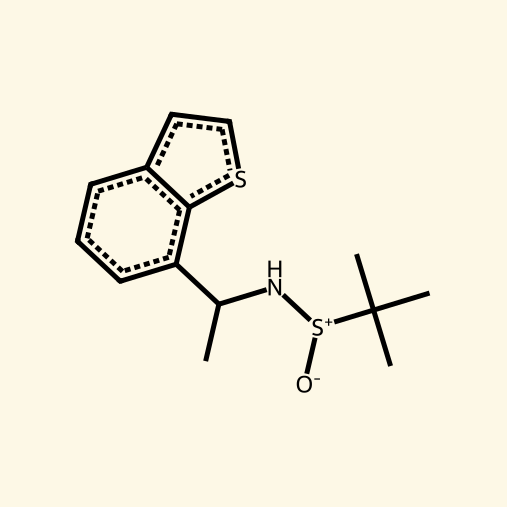 CC(N[S+]([O-])C(C)(C)C)c1cccc2ccsc12